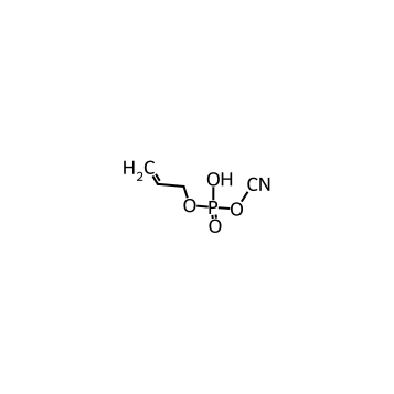 C=CCOP(=O)(O)OC#N